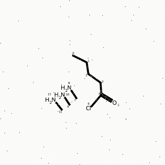 CCCCC(=O)Cl.CN.CN.CN